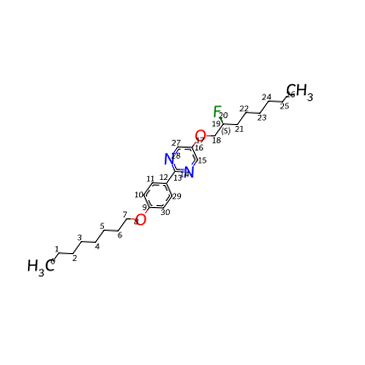 CCCCCCCCOc1ccc(-c2ncc(OC[C@@H](F)CCCCCC)cn2)cc1